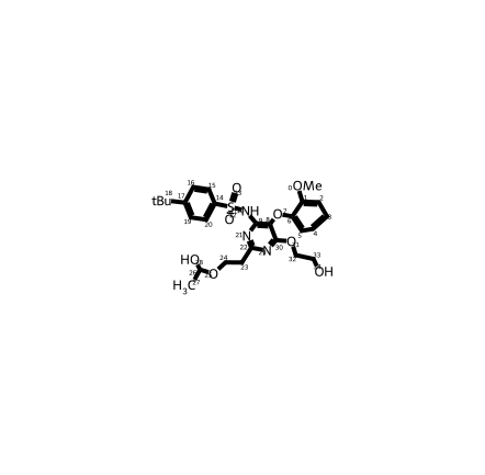 COc1ccccc1Oc1c(NS(=O)(=O)c2ccc(C(C)(C)C)cc2)nc(CCOC(C)O)nc1OCCO